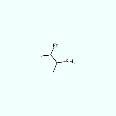 CCC(C)C(C)[SiH3]